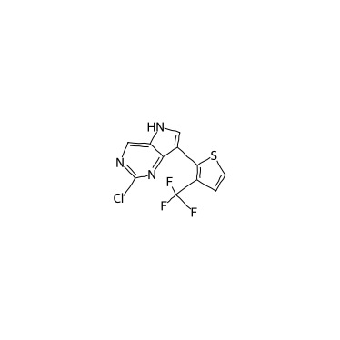 FC(F)(F)c1ccsc1-c1c[nH]c2cnc(Cl)nc12